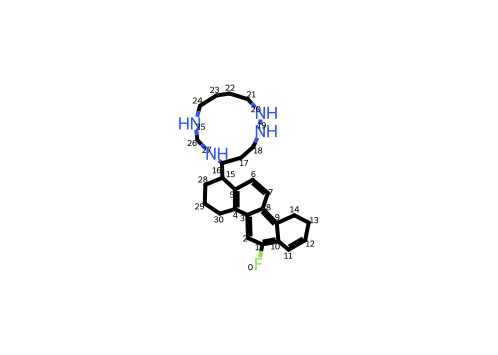 Fc1cc2c3c(ccc2c2c1C=CCC2)C(C1CCNNCCCCNCN1)CCC3